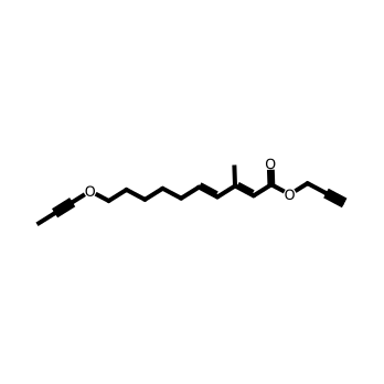 C#CCOC(=O)/C=C(C)/C=C/CCCCCOC#CC